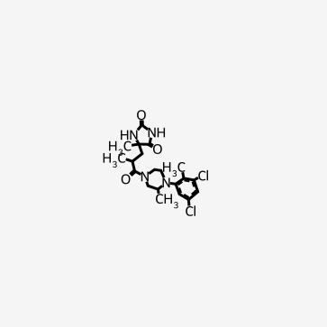 Cc1c(Cl)cc(Cl)cc1N1CCN(C(=O)C(C)CC2(C)NC(=O)NC2=O)CC1C